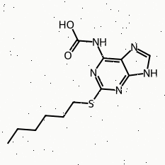 CCCCCCSc1nc(NC(=O)O)c2nc[nH]c2n1